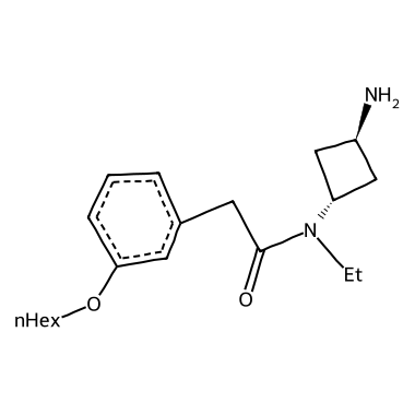 CCCCCCOc1cccc(CC(=O)N(CC)[C@H]2C[C@H](N)C2)c1